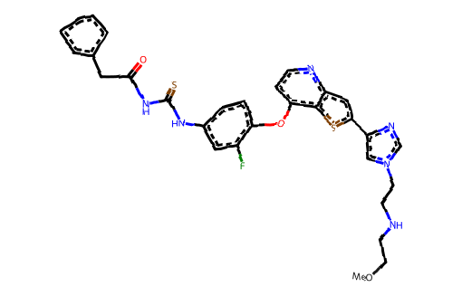 COCCNCCn1cnc(-c2cc3nccc(Oc4ccc(NC(=S)NC(=O)Cc5ccccc5)cc4F)c3s2)c1